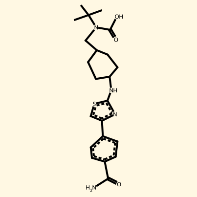 CC(C)(C)N(CC1CCC(Nc2nc(-c3ccc(C(N)=O)cc3)cs2)CC1)C(=O)O